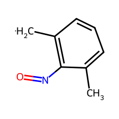 [CH2]c1cccc(C)c1N=O